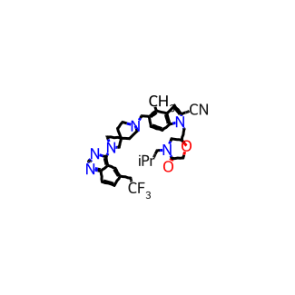 Cc1c(CN2CCC3(CC2)CN(c2ncnc4ccc(CC(F)(F)F)cc24)C3)ccc2c1cc(C#N)n2CC1CN(CC(C)C)C(=O)CO1